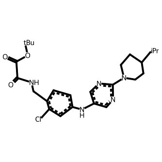 CC(C)C1CCN(c2ncc(Nc3ccc(CNC(=O)C(=O)OC(C)(C)C)c(Cl)c3)cn2)CC1